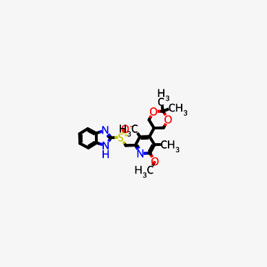 COc1nc(C[S+]([O-])c2nc3ccccc3[nH]2)c(C)c(C2COC(C)(C)OC2)c1C